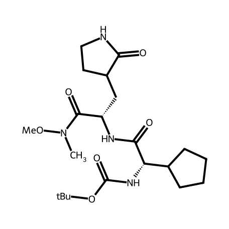 CON(C)C(=O)[C@H](CC1CCNC1=O)NC(=O)[C@@H](NC(=O)OC(C)(C)C)C1CCCC1